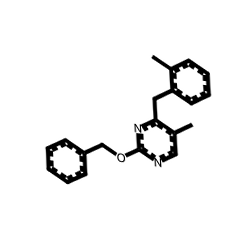 Cc1ccccc1Cc1nc(OCc2ccccc2)ncc1C